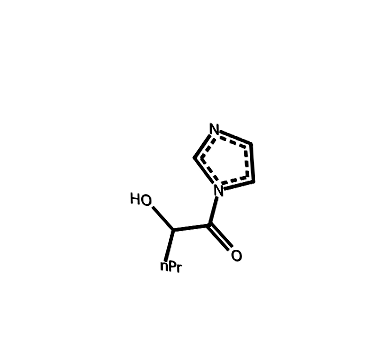 CCCC(O)C(=O)n1ccnc1